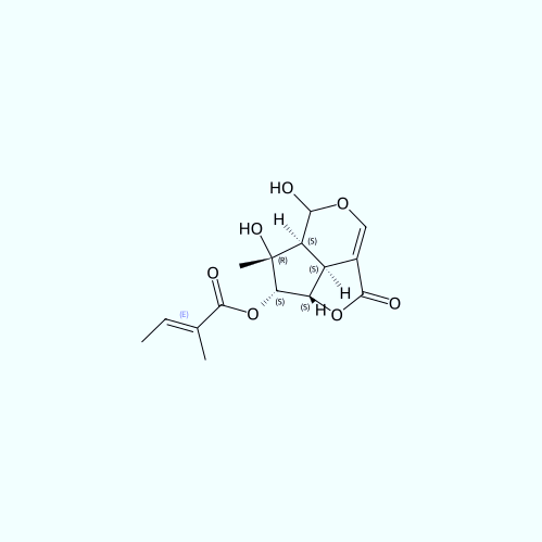 C/C=C(\C)C(=O)O[C@H]1[C@H]2OC(=O)C3=COC(O)[C@@H]([C@@H]32)[C@@]1(C)O